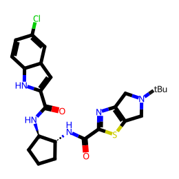 CC(C)(C)N1Cc2nc(C(=O)N[C@@H]3CCC[C@H]3NC(=O)C3=CC4C=C(Cl)C=CC4N3)sc2C1